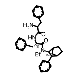 CCN(C(=O)[C@H](Cc1ccccc1)NC(=O)C(N)Cc1ccccc1)[C@H]1C2CCC(C2)C1c1ccccc1